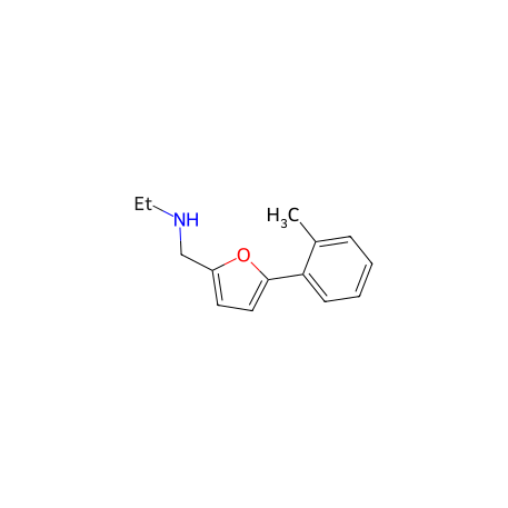 CCNCc1ccc(-c2ccccc2C)o1